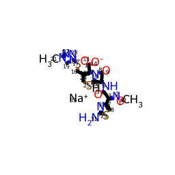 CON=C(C(=O)NC1C(=O)N2C(C(=O)[O-])=C(CSN3CN(C)N=N3)CS[C@@H]12)c1csc(N)n1.[Na+]